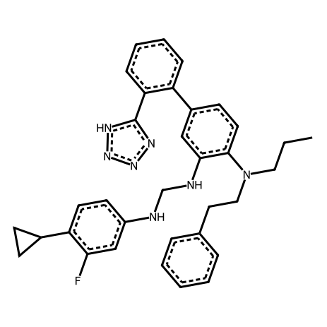 CCCN(CCc1ccccc1)c1ccc(-c2ccccc2-c2nnn[nH]2)cc1NCNc1ccc(C2CC2)c(F)c1